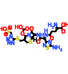 Nc1nc([C@H](NC(=O)CC[C@@H](N)C(=O)O)C(=O)N[C@@H]2C(=O)N3C(OC(=O)O)=C(CSc4nnnn4CS(=O)(=O)O)CS[C@@H]23)ns1